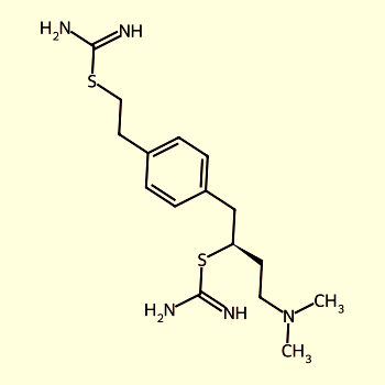 CN(C)CC[C@H](Cc1ccc(CCSC(=N)N)cc1)SC(=N)N